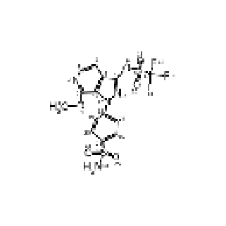 COc1nccc2c(OS(=O)(=O)C(F)(F)F)nn(-c3ccc(S(N)(=O)=O)cc3)c12